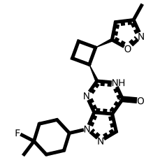 Cc1cc([C@@H]2CC[C@@H]2c2nc3c(cnn3C3CCC(C)(F)CC3)c(=O)[nH]2)on1